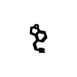 CC/C=C\c1cccc2c1CCO2